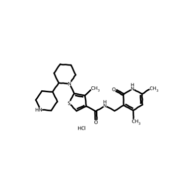 Cc1cc(C)c(CNC(=O)c2csc(N3CCCCC3C3CCNCC3)c2C)c(=O)[nH]1.Cl